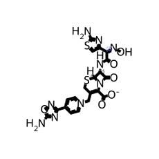 Nc1nc(-c2cc[n+](CC3=C(C(=O)[O-])N4C(=O)[C@@H](NC(=O)/C(=N\O)c5csc(N)n5)[C@H]4SC3)cc2)no1